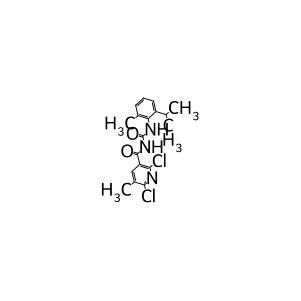 Cc1cc(C(=O)NC(=O)Nc2c(C)cccc2C(C)C)c(Cl)nc1Cl